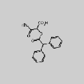 CCCC(=O)C(OC(=O)C(c1ccccc1)c1ccccc1)C(=O)O